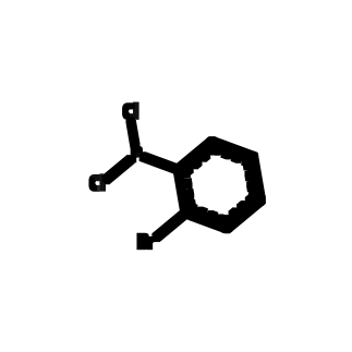 ClP(Cl)c1ccccc1Br